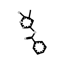 Cc1cc(OC(=O)c2ccccc2)nnc1Cl